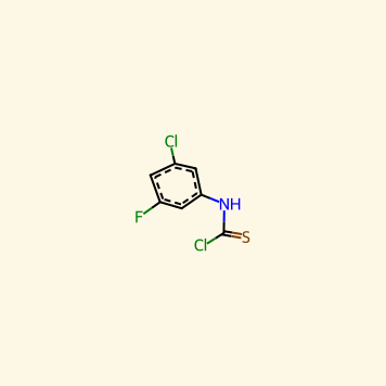 Fc1cc(Cl)cc(NC(=S)Cl)c1